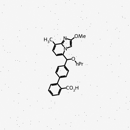 CCCOC(c1ccc(-c2ccccc2C(=O)O)cc1)c1ccc(C)c2nc(OC)cn12